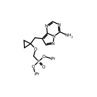 CC(C)OP(=O)(COC1(Cc2cnn3c(N)ncnc23)CC1)OC(C)C